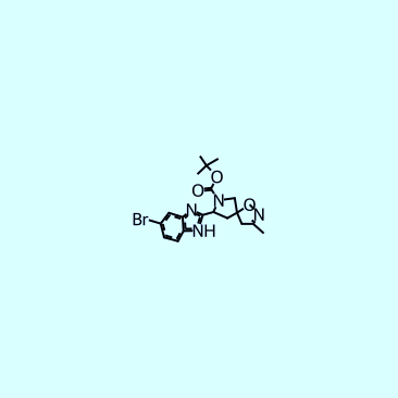 CC1=NOC2(C1)CC(c1nc3cc(Br)ccc3[nH]1)N(C(=O)OC(C)(C)C)C2